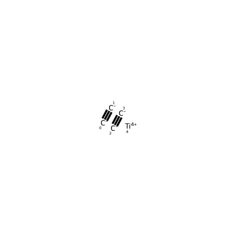 [C-]#[C-].[C-]#[C-].[Ti+4]